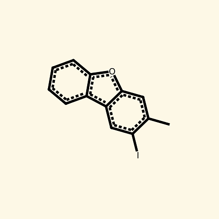 Cc1cc2oc3ccccc3c2cc1I